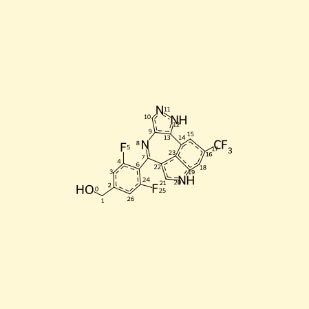 OCc1cc(F)c(C2=Nc3cn[nH]c3-c3cc(C(F)(F)F)cc4[nH]cc2c34)c(F)c1